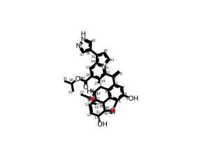 C=C(c1cc(O)c2c3c1C[C@@H]1[C@@H]4C=C[C@H](O)[C@H](O2)[C@]34CCN1C)c1c(C)c(C(=O)OC(C)C)cc2c(-c3cn[nH]c3)ccn12